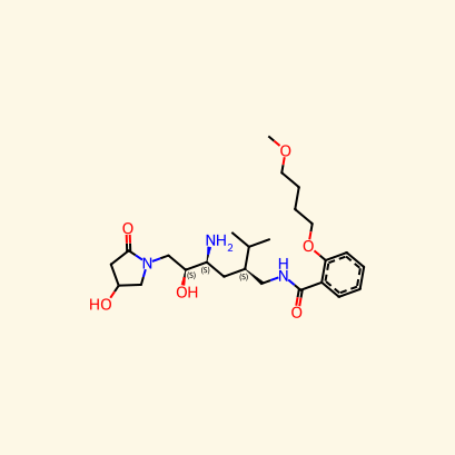 COCCCCOc1ccccc1C(=O)NC[C@@H](C[C@H](N)[C@@H](O)CN1CC(O)CC1=O)C(C)C